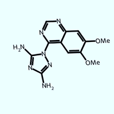 COc1cc2ncnc(-n3nc(N)nc3N)c2cc1OC